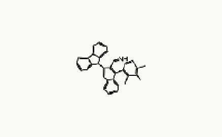 Cc1ccc(-c2c(C=N)c(C3c4ccccc4-c4ccccc43)cc3ccccc23)c(C)c1C